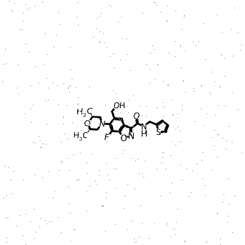 C[C@@H]1CN(c2c(CO)cc3c(C(=O)NCc4cccs4)noc3c2F)C[C@H](C)O1